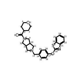 O=C(C1CCOCC1)N1CC2CN(Cc3ccc(Oc4nc5ccccc5s4)cc3)CC2C1